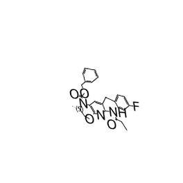 CCC(=O)Nc1nc2c(cc1Cc1ccc(F)cc1)N(C(=O)OCc1ccccc1)[C@@H](C)CO2